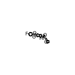 O=C(NCc1ccco1)N1CC2=C(C1)CN(S(=O)(=O)c1ccc(F)cc1)C2